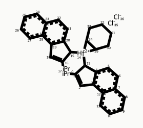 CC(C)C1=Cc2c(ccc3ccccc23)[CH]1[Hf+2]1([CH]2C(C(C)C)=Cc3c2ccc2ccccc32)[CH]2CCCC[CH]21.[Cl-].[Cl-]